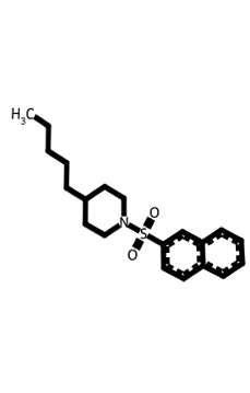 CCCCCC1CCN(S(=O)(=O)c2ccc3ccccc3c2)CC1